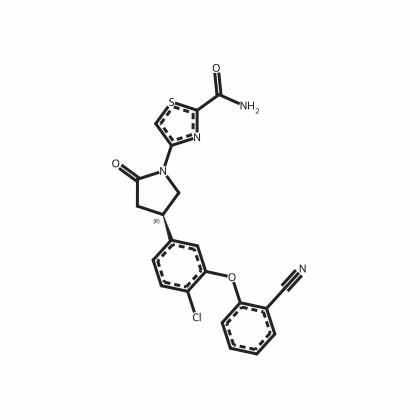 N#Cc1ccccc1Oc1cc([C@H]2CC(=O)N(c3csc(C(N)=O)n3)C2)ccc1Cl